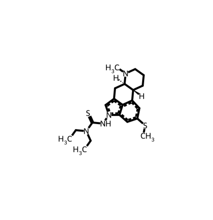 CCN(CC)C(=S)Nn1cc2c3c(cc(SC)cc31)[C@H]1CCCN(C)[C@@H]1C2